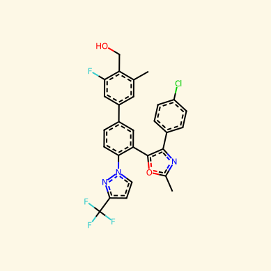 Cc1nc(-c2ccc(Cl)cc2)c(-c2cc(-c3cc(C)c(CO)c(F)c3)ccc2-n2ccc(C(F)(F)F)n2)o1